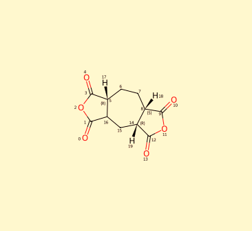 O=C1OC(=O)[C@@H]2CC[C@@H]3C(=O)OC(=O)[C@@H]3CC12